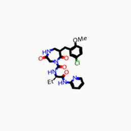 CC[C@@H](NC(=O)N1CC(=O)NCC(Cc2cc(Cl)ccc2OC)C1=O)C(=O)Nc1ccccn1